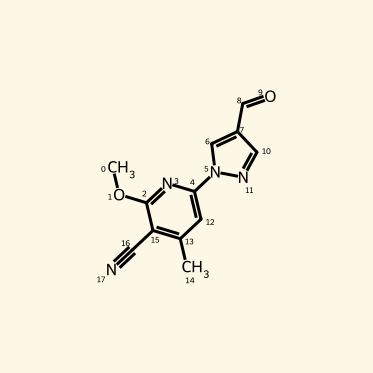 COc1nc(-n2cc(C=O)cn2)cc(C)c1C#N